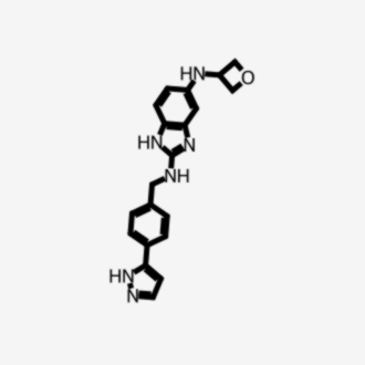 c1cc(-c2ccc(CNc3nc4cc(NC5COC5)ccc4[nH]3)cc2)[nH]n1